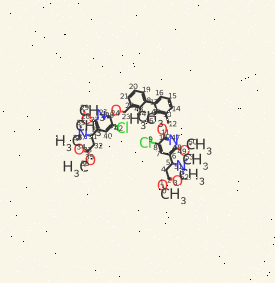 COC(=O)CC(c1cc(Cl)c(OCc2cccc(-c3cccc(COc4nc(OC)c(C(CC(=O)OC)N(C)C)cc4Cl)c3C)c2C)nc1OC)N(C)C